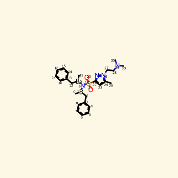 CB(Cc1ccccc1)N(B(C)Cc1ccccc1)S(=O)(=O)c1cc(C)n(CCN(C)C)n1